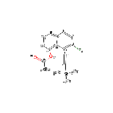 CC(C)[Si](C#Cc1c(F)ccc2cccc(OC(=O)C(C)(C)C)c12)(C(C)C)C(C)C